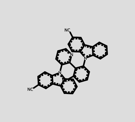 N#Cc1ccc2c(c1)c1ccccc1n2-c1cccnc1-c1c(C#N)cccc1-n1c2ccccc2c2cc(C#N)ccc21